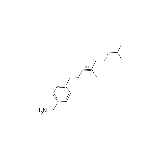 CC(C)=CCC/C(C)=C/CCc1ccc(CN)cc1